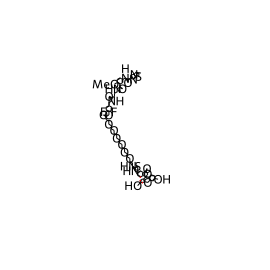 COc1ccc(NC(=O)c2cn3ccsc3n2)cc1C(=O)NCCCC(=O)NCc1cc(F)c(OC(=O)CCOCCOCCOCCOCCOCCOCCNC(=S)Nc2ccc3c(c2)C(=O)OC32c3ccc(O)cc3Oc3cc(O)ccc32)c(F)c1